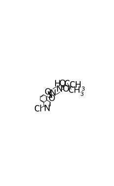 CC(C)(C)OC(=O)N1CCN(S(=O)(=O)c2cccc3c(Cl)nccc23)CC1